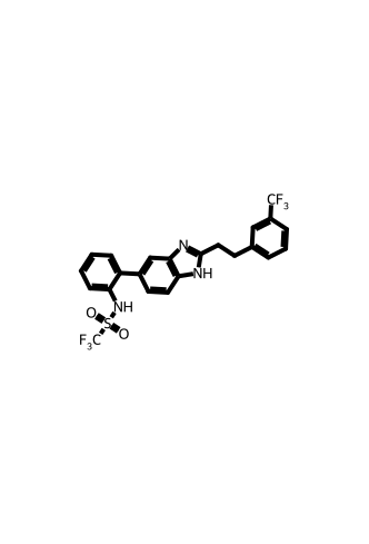 O=S(=O)(Nc1ccccc1-c1ccc2[nH]c(CCc3cccc(C(F)(F)F)c3)nc2c1)C(F)(F)F